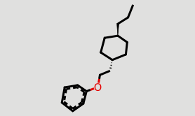 CCC[C@H]1CC[C@H](CCOc2ccccc2)CC1